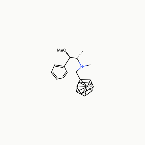 CO[C@H](c1ccccc1)[C@H](C)N(C)C[C]12[CH]3[CH]4[CH]5[CH]1[Fe]45321678[CH]2[CH]1[CH]6[CH]7[CH]28